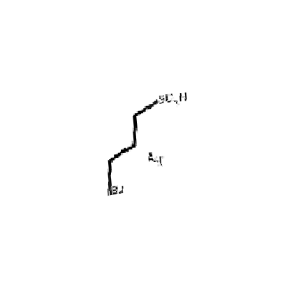 CCCCCCCS(=O)(=O)O.[Ag]